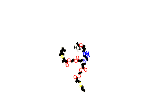 BC(C)(CCn1cc(CN(CCC(=O)OCCOC(=O)C(C)CSCCC)CCC(=O)OCCOC(=O)C(C)CSC(C)(C)CC(C)C)nn1)OCC